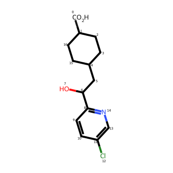 O=C(O)C1CCC(CC(O)c2ccc(Cl)cn2)CC1